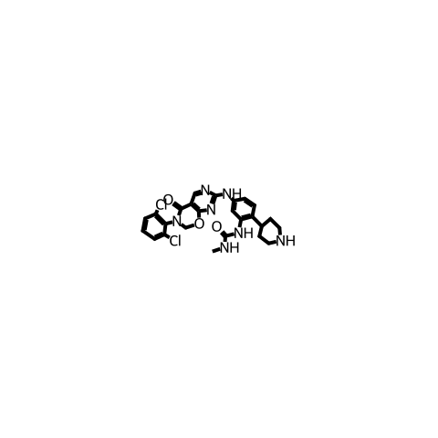 CNC(=O)Nc1cc(Nc2ncc3c(n2)OCN(c2c(Cl)cccc2Cl)C3=O)ccc1C1CCNCC1